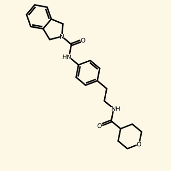 O=C(NCCc1ccc(NC(=O)N2Cc3ccccc3C2)cc1)C1CCOCC1